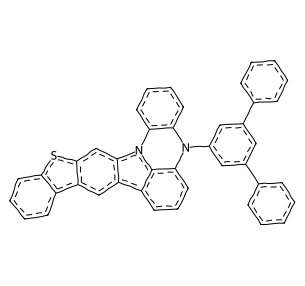 c1ccc(-c2cc(-c3ccccc3)cc(N3c4ccccc4-n4c5cc6sc7ccccc7c6cc5c5cccc3c54)c2)cc1